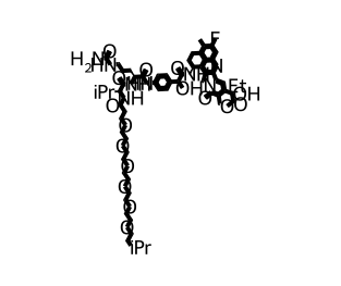 CC[C@@]1(O)C(=O)OCc2c1cc1n(c2=O)Cc2c-1nc1cc(F)c(C)c3c1c2[C@@H](NC(=O)C(O)c1ccc(NC(=O)[C@H](CCCNC(N)=O)NC(=O)[C@@H](NC(=O)CCOCCOCCOCCOCCOCCOCCC(C)C)C(C)C)cc1)CC3